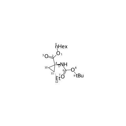 CCCCCCOC(=O)[C@@]1(NC(=O)OC(C)(C)C)C[C@H]1CC